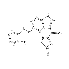 Cc1oc2ccc(OCc3cccnc3C(F)(F)F)cc2c1C(=O)n1cc(N)cn1